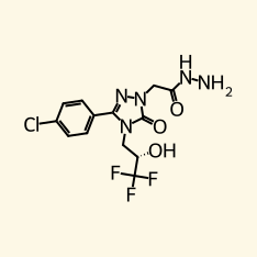 NNC(=O)Cn1nc(-c2ccc(Cl)cc2)n(C[C@H](O)C(F)(F)F)c1=O